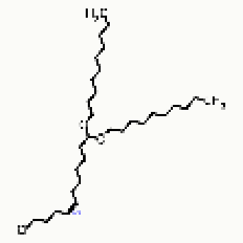 CCCCCCCCCCOC(CCCCC/C=C\CCCCl)OCCCCCCCCCC